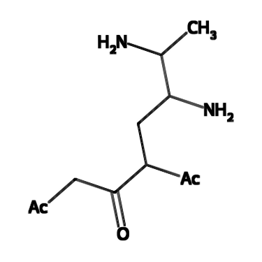 CC(=O)CC(=O)C(CC(N)C(C)N)C(C)=O